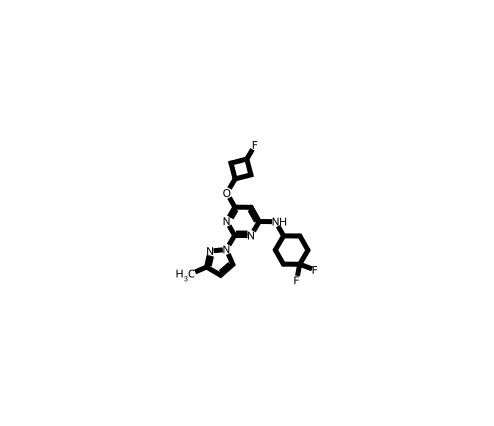 Cc1ccn(-c2nc(NC3CCC(F)(F)CC3)cc(OC3CC(F)C3)n2)n1